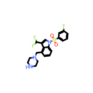 O=S(=O)(c1cccc(F)c1)n1cc(C(F)F)c2c(CN3CCNCC3)cccc21